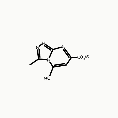 CCOC(=O)c1cc(O)n2c(C)nnc2n1